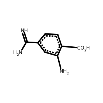 N=C(N)c1ccc(C(=O)O)c(N)c1